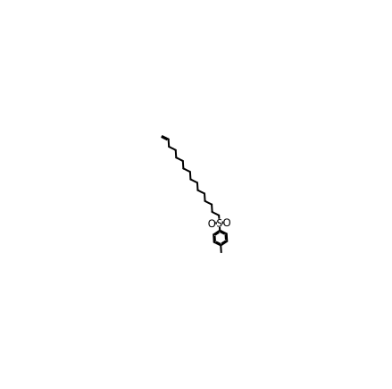 C=CCCCCCCCCCCCCCCS(=O)(=O)c1ccc(C)cc1